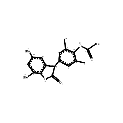 Cc1cc(C2C(=O)Oc3c2cc(C(C)(C)C)cc3C(C)(C)C)cc(C)c1OC(=O)C(C)(C)C